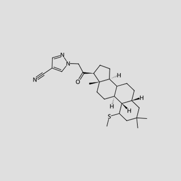 CSC1CC(C)(C)C[C@H]2CCC3[C@H](CC[C@]4(C)[C@@H](C(=O)Cn5cc(C#N)cn5)CC[C@@H]34)[C@@H]12